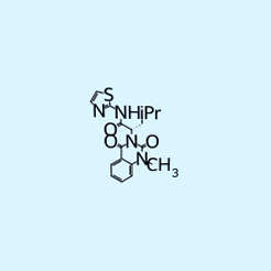 CC(C)C[C@@H](C(=O)Nc1nccs1)n1c(=O)c2ccccc2n(C)c1=O